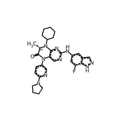 C[C@@H]1C(=O)N(c2ccc(N3CCCC3)nc2)c2cnc(Nc3cc(F)c4[nH]ncc4c3)nc2N1C1CCCCC1